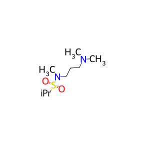 CC(C)S(=O)(=O)N(C)CCCN(C)C